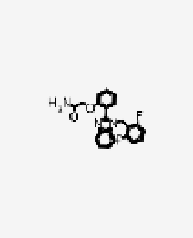 NC(=O)COc1ccccc1-c1nc2ccccc2n1Cc1c(F)cccc1F